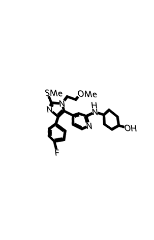 COCCn1c(SC)nc(-c2ccc(F)cc2)c1-c1ccnc(NC2CCC(O)CC2)c1